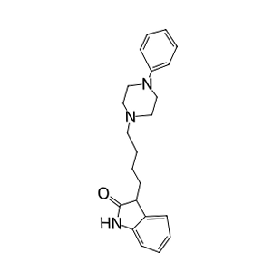 O=C1Nc2ccccc2C1CCCCN1CCN(c2ccccc2)CC1